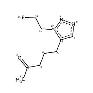 CC(=O)CCCc1cnnn1CCF